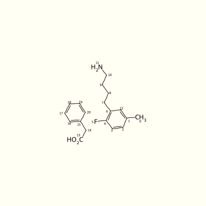 Cc1ccc(F)c(CCCCN)c1.O=C(O)Cc1ccccc1